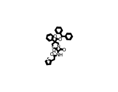 O=C(Cc1cccs1)NC1C(=O)N2CC(C(=O)OC(c3ccccc3)c3ccccc3)(c3ccccc3)CS[C@H]12